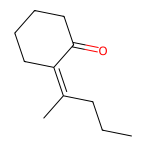 CCCC(C)=C1CCCCC1=O